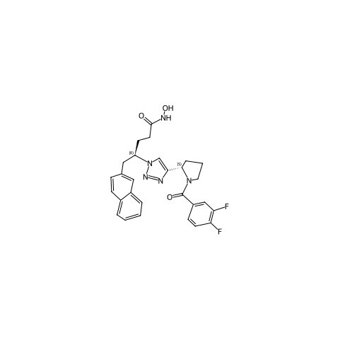 O=C(CC[C@H](Cc1ccc2ccccc2c1)n1cc([C@@H]2CCCN2C(=O)c2ccc(F)c(F)c2)nn1)NO